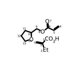 C=C(CC)C(=O)O.C=CC(=O)OCC1CCCO1